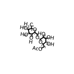 CC(=O)OCC1O[C@H](OCC2OC(C)C(O)[C@@H](O)[C@@H]2O)C(O)[C@@H](O)[C@@H]1O